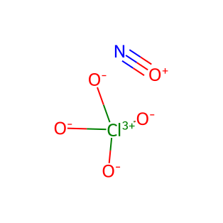 N#[O+].[O-][Cl+3]([O-])([O-])[O-]